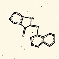 O=C1C(=Cc2ccnc3ccccc23)Nc2ccccc21